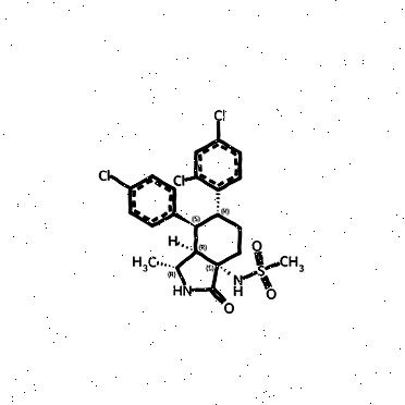 C[C@H]1NC(=O)[C@]2(NS(C)(=O)=O)CC[C@@H](c3ccc(Cl)cc3Cl)[C@H](c3ccc(Cl)cc3)[C@H]12